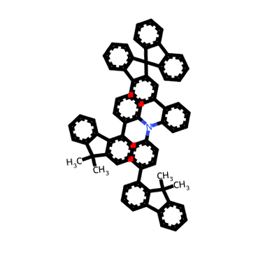 CC1(C)c2ccccc2-c2c(-c3ccccc3N(c3ccc(-c4cccc5c4C(C)(C)c4ccccc4-5)cc3)c3ccccc3-c3ccc4c(c3)C3(c5ccccc5-c5ccccc53)c3ccccc3-4)cccc21